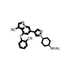 CC(=O)N[C@H]1CC[C@@H](n2cc(-c3cc(Sc4ccccc4C#N)c4c(C#N)cnn4c3)cn2)CC1